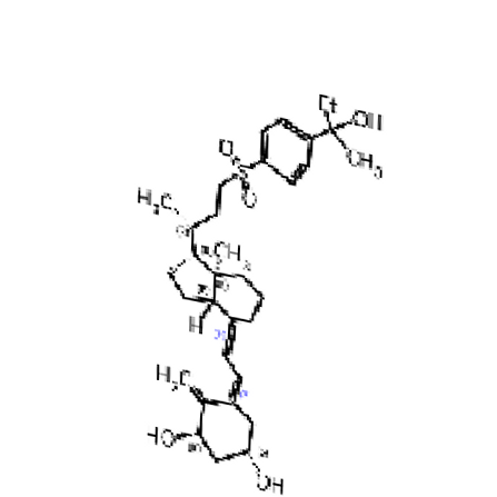 C=C1/C(=C\C=C2/CCC[C@]3(C)[C@@H]([C@H](C)CCS(=O)(=O)c4ccc(C(C)(O)CC)cc4)CC[C@@H]23)C[C@H](O)C[C@H]1O